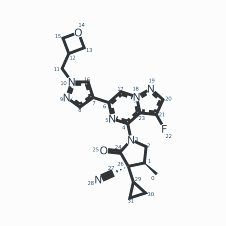 C[C@@H]1CN(c2nc(-c3cnn(CC4COC4)c3)cn3ncc(F)c23)C(=O)[C@]1(C#N)C1CC1